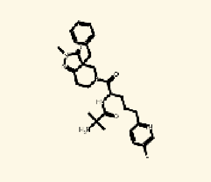 CN1N=C2CCN(C(=O)C(CCCc3ccc(F)cn3)NC(=O)C(C)(C)N)CC2(Cc2ccccc2)C1=O